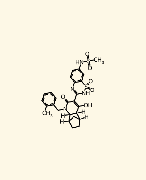 Cc1ccccc1CN1C(=O)C(C2=Nc3ccc(NS(C)(=O)=O)cc3S(=O)(=O)N2)=C(O)[C@@H]2[C@@H]3CC[C@@H](C3)[C@@H]21